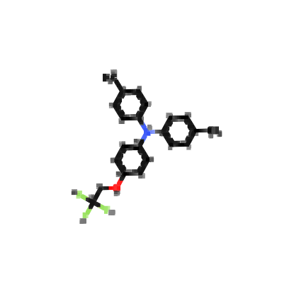 Cc1ccc(N(c2ccc(C)cc2)c2ccc(OCC(F)(F)F)cc2)cc1